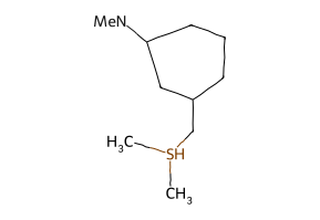 CNC1CCCC(C[SH](C)C)C1